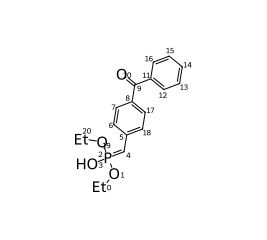 CCOP(O)(=Cc1ccc(C(=O)c2ccccc2)cc1)OCC